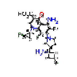 Nc1c(F)c(N2CCC(C3(N)CC(F)C3)C2)c(F)c2c1c(=O)c(C(=O)O)cn2[C@@H]1C[C@H]1F